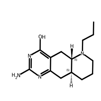 CCCN1CCC[C@H]2Cc3nc(N)nc(O)c3C[C@@H]21